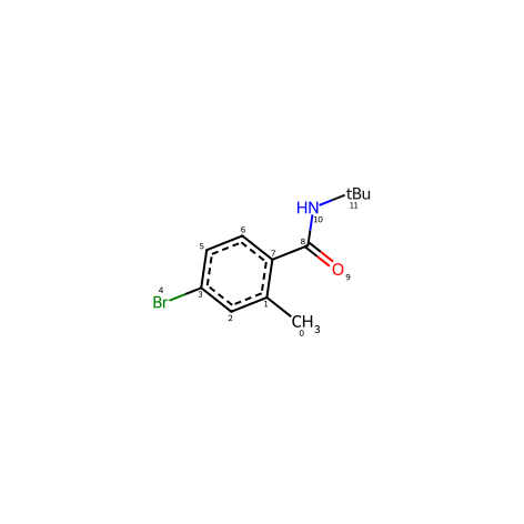 Cc1cc(Br)ccc1C(=O)NC(C)(C)C